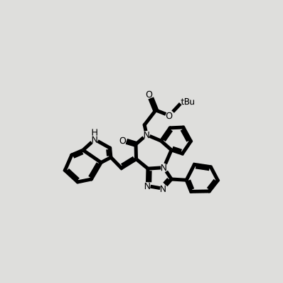 CC(C)(C)OC(=O)CN1C(=O)C(=Cc2c[nH]c3ccccc23)c2nnc(-c3ccccc3)n2-c2ccccc21